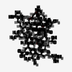 CSCC[C@H](NC(=O)[C@H](CO)NC(=O)[C@H](CC(N)=O)NC(=O)[C@H](CC(C)C)NC(=O)[C@H](Cc1c[nH]cn1)NC(=O)[C@H](CCCCN)NC(=O)CN)C(=O)N[C@@H](CCC(=O)O)C(=O)N[C@@H](CCCNC(=N)N)C(=O)N[C@H](C(=O)N[C@@H](CCC(=O)O)C(=O)N[C@@H](Cc1c[nH]c2ccccc12)C(=O)N[C@@H](CC(C)C)C(=O)N[C@@H](CCCNC(=N)N)C(=O)N[C@@H](CCCCN)C(=O)N[C@@H](CC(C)C)C(=O)O)C(C)C